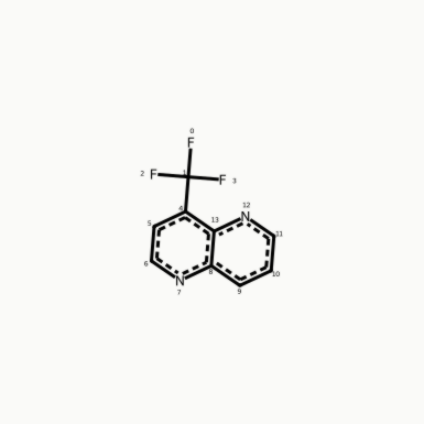 FC(F)(F)c1ccnc2cccnc12